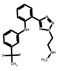 CNCCn1nnc(-c2ccccc2Nc2cccc(C(C)(F)F)c2)n1